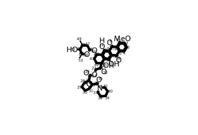 COc1cccc2c1C(=O)c1c(O)c3c(c(O)c1C2=O)[C@@](O)(C(=O)COC(=O)C1C2CCC(O2)C1C(=O)N1CCCCC1)CC[C@@H]3O[C@H]1C[C@H](C)[C@H](O)[C@H](C)O1